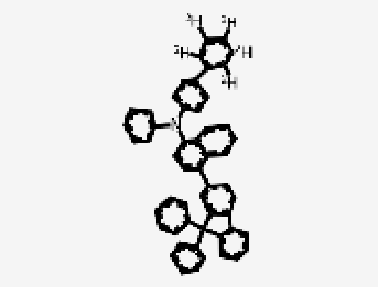 [2H]c1c([2H])c([2H])c(-c2ccc(N(c3ccccc3)c3ccc(-c4ccc5c(c4)C(c4ccccc4)(c4ccccc4)c4ccccc4-5)c4ccccc34)cc2)c([2H])c1[2H]